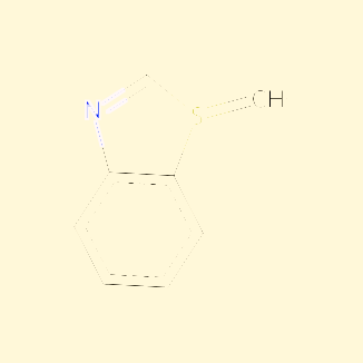 [CH]=S1C=Nc2ccccc21